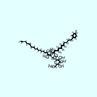 CCCCCCCCCCCCCC[C@@H](O)[C@@H](O)[C@H](COC1OC(CO)C(O)C(O)C1O)NC(=O)CCCCCCCCCCc1ccc(F)cc1